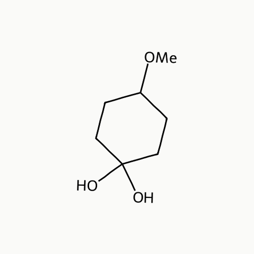 COC1CCC(O)(O)CC1